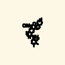 COc1cc2ncnc(Nc3ccc(C)c(C)c3F)c2cc1N1CCC2(CCN(C)CC2)C1=O